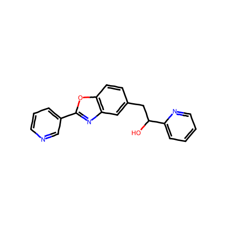 OC(Cc1ccc2oc(-c3cccnc3)nc2c1)c1ccccn1